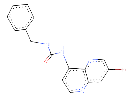 O=C(NCc1ccccc1)Nc1ccnc2cc(Br)cnc12